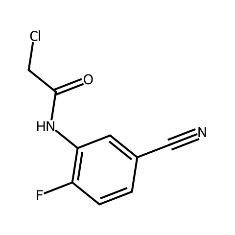 N#Cc1ccc(F)c(NC(=O)CCl)c1